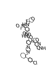 O=C(NS(=O)(=O)c1ccc(NCC2(F)CCOCC2)c([N+](=O)[O-])c1)c1ccc(N2CCN(CC3=C(c4ccc(Cl)cc4)CCCCC3)CC2)cc1N1CCOc2nc3[nH]ccc3cc21